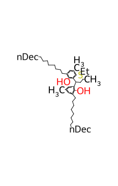 CCCCCCCCCCCCCCCCCCc1cc(C)cc(C(CC(C)SCC)c2cc(C)cc(CCCCCCCCCCCCCCCCCC)c2O)c1O